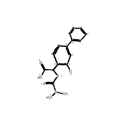 CN(C)C(=O)SC(C(=O)O)c1ccc(-c2ccccc2)cc1Cl